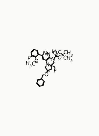 COc1c(F)cccc1-c1cc2c(nn1)N(C(=O)OC(C)(C)C)C[C@]1(CF)C[C@@H](OCc3ccccc3)CN21